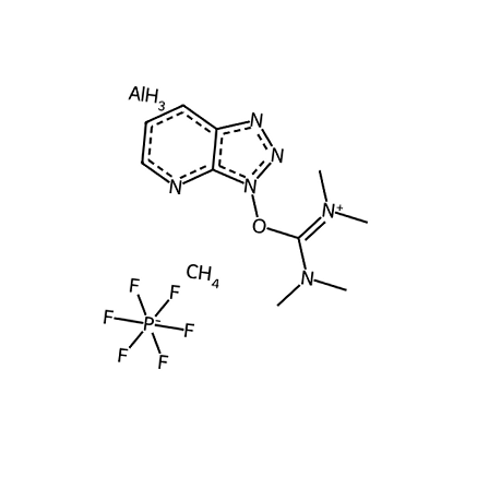 C.CN(C)C(On1nnc2cccnc21)=[N+](C)C.F[P-](F)(F)(F)(F)F.[AlH3]